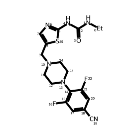 CCNC(=O)Nc1ncc(CN2CCN(c3c(F)cc(C#N)cc3F)CC2)s1